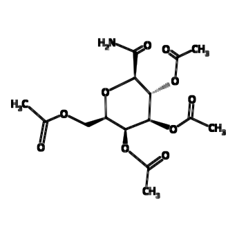 CC(=O)OC[C@H]1O[C@@H](C(N)=O)[C@H](OC(C)=O)[C@@H](OC(C)=O)[C@H]1OC(C)=O